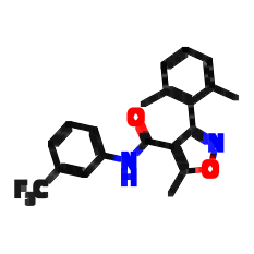 Cc1cccc(C)c1-c1noc(C)c1C(=O)Nc1cccc(C(F)(F)F)c1